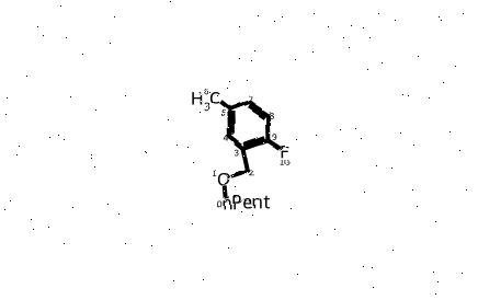 CCCCCOCc1cc(C)ccc1F